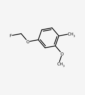 COc1cc(OCF)ccc1C